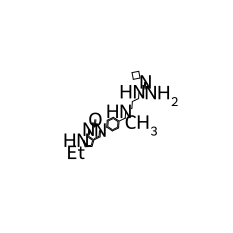 CCc1cc2cn(-c3ccc([C@H](C)NCCCN/C(N)=N\C4CCC4)cc3)c(=O)nc2[nH]1